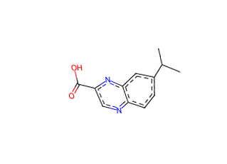 CC(C)c1ccc2ncc(C(=O)O)nc2c1